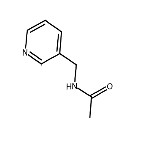 CC(=O)NCc1[c]nccc1